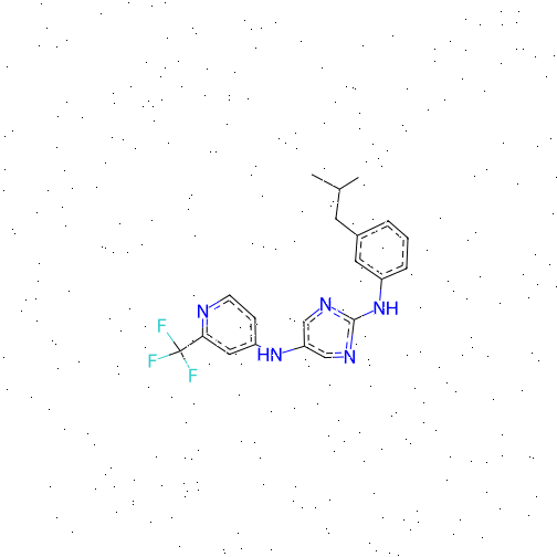 CC(C)Cc1cccc(Nc2ncc(Nc3ccnc(C(F)(F)F)c3)cn2)c1